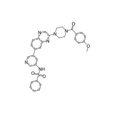 COc1ccc(C(=O)N2CCN(c3cnc4ccc(-c5cncc(NS(=O)(=O)c6ccccc6)c5)cc4n3)CC2)cc1